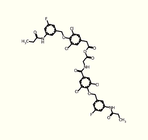 CCC(=O)Nc1cc(F)cc(COc2c(Cl)cc(CC(=O)OC(=O)CNC(=O)c3cc(Cl)c(OCc4cc(F)cc(NC(=O)CC)c4)c(Cl)c3)cc2Cl)c1